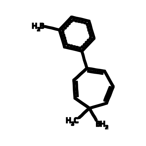 Bc1cccc(C2=CC=CC(B)(C)C=C2)c1